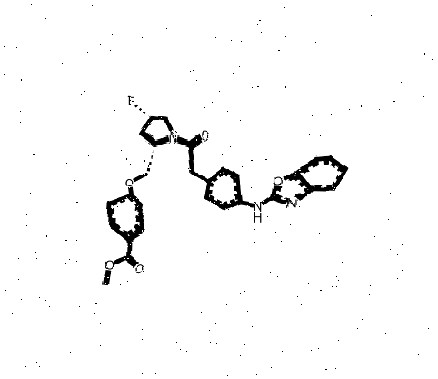 COC(=O)c1ccc(OC[C@@H]2C[C@H](F)CN2C(=O)Cc2ccc(Nc3nc4ccccc4o3)cc2)cc1